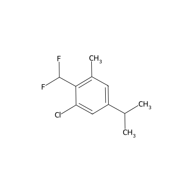 Cc1cc(C(C)C)cc(Cl)c1C(F)F